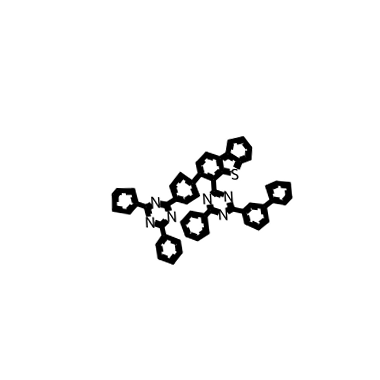 c1ccc(-c2cccc(-c3nc(-c4ccccc4)nc(-c4c(-c5ccc(-c6nc(-c7ccccc7)nc(-c7ccccc7)n6)cc5)ccc5c4sc4ccccc45)n3)c2)cc1